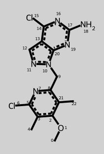 COc1c(C)c(Cl)nc(Cn2ncc3c(Cl)nc(N)nc32)c1C